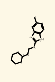 Cc1ccc2[nH]c(SCCC3CCCCC3)nc2c1